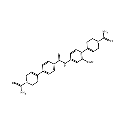 COc1cc(NC(=O)c2ccc(C3=CCN(C(=N)N)CC3)cc2)ccc1C1=CCN(C(=N)N)CC1